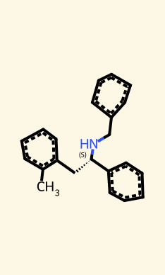 Cc1ccccc1C[C@H](NCc1ccccc1)c1ccccc1